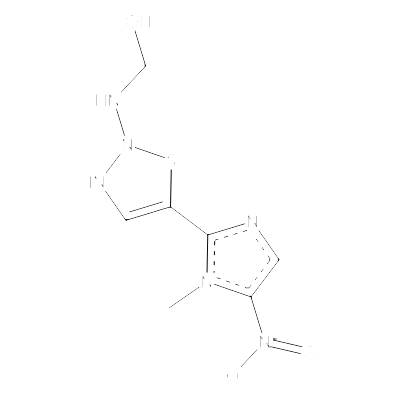 Cn1c([N+](=O)[O-])cnc1C1=CNN(NCO)S1